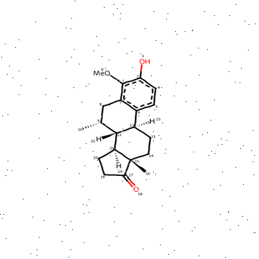 COc1c(O)ccc2c1C[C@@H](C)[C@@H]1[C@@H]2CC[C@]2(C)C(=O)CC[C@@H]12